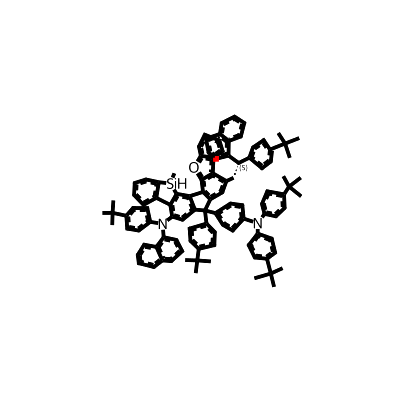 C[SiH]1c2ccccc2-c2c(N(c3ccc(C(C)(C)C)cc3)c3cccc4ccccc34)cc3c(c21)-c1c(cc(C[C@@H](c2ccc(C(C)(C)C)cc2)c2cccc4ccccc24)c2c1oc1ccccc12)C3(c1ccc(N(c2ccc(C(C)(C)C)cc2)c2ccc(C(C)(C)C)cc2)cc1)c1ccc(C(C)(C)C)cc1